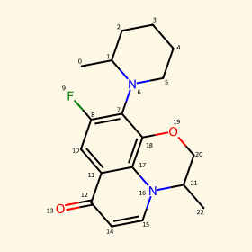 CC1CCCCN1c1c(F)cc2c(=O)ccn3c2c1OCC3C